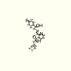 O=C(NCC1CC2CCC1C2)c1cccnc1SCCC(O)c1ccc(F)cc1